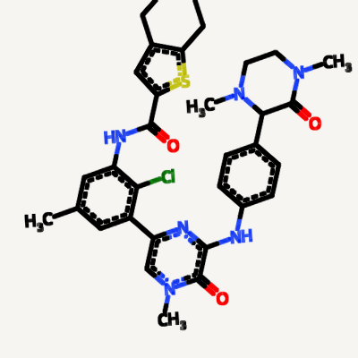 Cc1cc(NC(=O)c2cc3c(s2)CCCC3)c(Cl)c(-c2cn(C)c(=O)c(Nc3ccc(C4C(=O)N(C)CCN4C)cc3)n2)c1